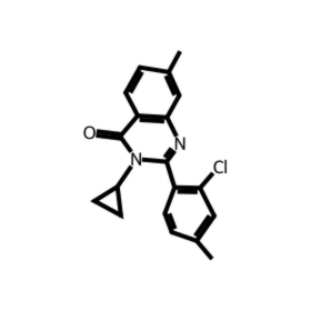 Cc1ccc(-c2nc3cc(C)ccc3c(=O)n2C2CC2)c(Cl)c1